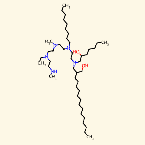 CCCCCCCCCCCCCCC(CO)CN(CCN(CCCCCCCCC)CCN(C)CCN(CC)CCNC)CC(O)CCCCC